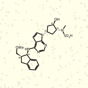 COC[C@@H]1Cc2ccccc2[C@@H]1Nc1ncnc2c1ccn2[C@@H]1C[C@@H](O)[C@H](N(C)S(=O)(=O)O)C1